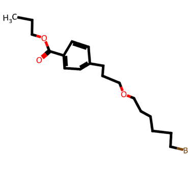 CCCOC(=O)c1ccc(CCCOCCCCCCBr)cc1